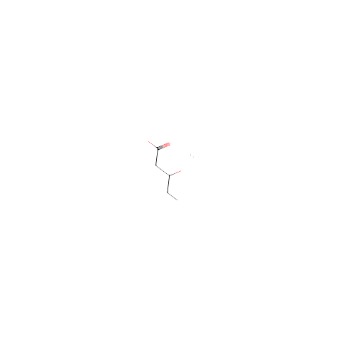 CCC(O)CC(=O)[O-].[Na+]